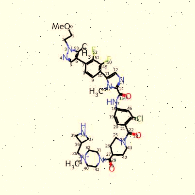 COCCn1ncc(-c2ccc(-c3cnc(C(=O)Nc4ccc(C(=O)N5CCC(C(=O)N6CC[N+](C)(CC7CNC7)CC6)CC5)c(Cl)c4)n3C)c(F)c2F)c1C